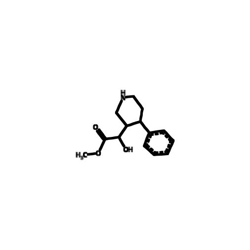 COC(=O)C(O)C1CNCCC1c1ccccc1